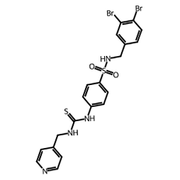 O=S(=O)(NCc1ccc(Br)c(Br)c1)c1ccc(NC(=S)NCc2ccncc2)cc1